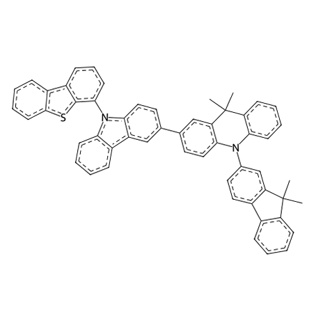 CC1(C)c2ccccc2-c2ccc(N3c4ccccc4C(C)(C)c4cc(-c5ccc6c(c5)c5ccccc5n6-c5cccc6c5sc5ccccc56)ccc43)cc21